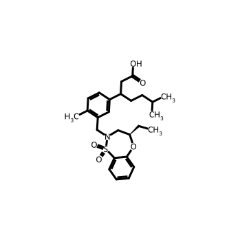 CC[C@@H]1CN(Cc2cc(C(CCC(C)C)CC(=O)O)ccc2C)S(=O)(=O)c2ccccc2O1